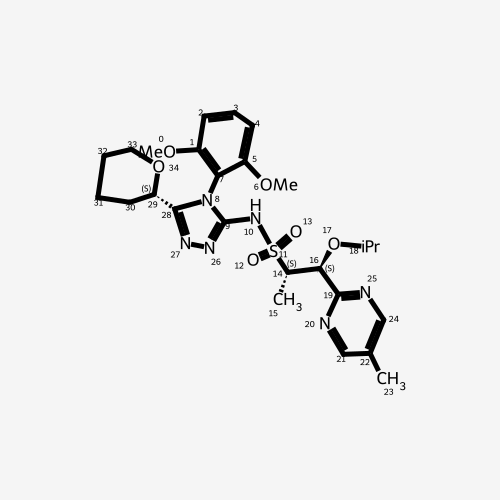 COc1cccc(OC)c1-n1c(NS(=O)(=O)[C@@H](C)[C@@H](OC(C)C)c2ncc(C)cn2)nnc1[C@@H]1CCCCO1